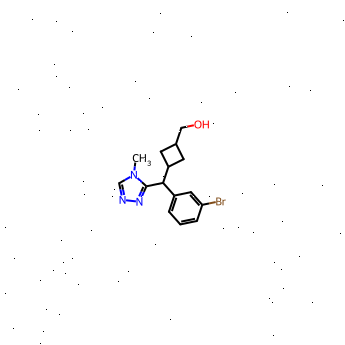 Cn1cnnc1C(c1cccc(Br)c1)C1CC(CO)C1